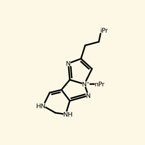 CCC[N+]12C=C(CCC(C)C)N=C1C1=CNCNC1=N2